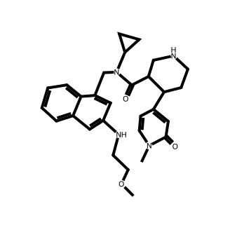 COCCNc1cc(CN(C(=O)C2CNCCC2c2ccn(C)c(=O)c2)C2CC2)c2ccccc2c1